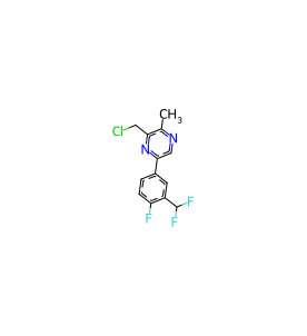 Cc1ncc(-c2ccc(F)c(C(F)F)c2)nc1CCl